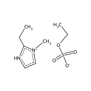 CCOS(=O)(=O)[O-].CCc1[nH]cc[n+]1C